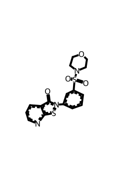 O=c1c2cccnc2sn1-c1cccc(S(=O)(=O)N2CCOCC2)c1